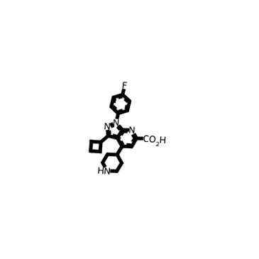 O=C(O)c1cc(C2CCNCC2)c2c(C3CCC3)nn(-c3ccc(F)cc3)c2n1